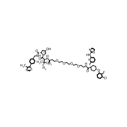 Cc1ncsc1-c1ccc(CNC(=O)[C@@H]2C[C@@H](O)CN2C(=O)[C@@H](NC(=O)CCOCCOCCOCCOCCNC(=O)[C@]2(Cc3cccc(Nc4nccs4)n3)CC[C@@H](Oc3cccc(Cl)c3F)CC2)C(C)(C)C)cc1